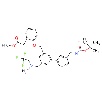 COC(=O)Cc1ccccc1OCc1cc(CN(C)CC(F)(F)F)cc(-c2cccc(CNC(=O)OC(C)(C)C)c2)c1